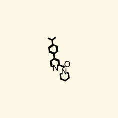 CC(C)c1ccc(-c2ccnc(C(=O)N3CCCCC3)c2)cc1